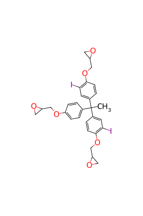 CC(c1ccc(OCC2CO2)cc1)(c1ccc(OCC2CO2)c(I)c1)c1ccc(OCC2CO2)c(I)c1